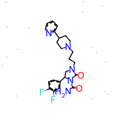 NC(=O)N1C(=O)N(CCCN2CCC(c3ccccn3)CC2)CC1c1ccc(F)c(F)c1